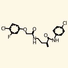 C=C(CCNC(=O)COc1ccc(Cl)c(F)c1)C(=O)Nc1ccc(Cl)cc1